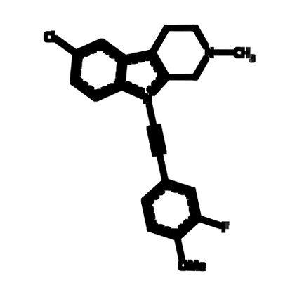 COc1ccc(C#Cn2c3c(c4cc(Cl)ccc42)CCN(C)C3)cc1F